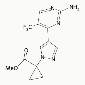 COC(=O)C1(n2cc(-c3nc(N)ncc3C(F)(F)F)cn2)CC1